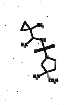 CC(NS(=O)(=O)N1CC[C@](N)(C(=O)O)C1)C1(N)CC1